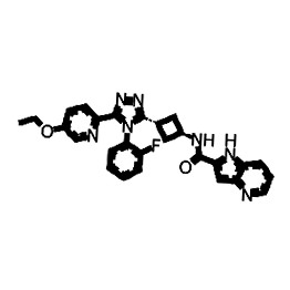 CCOc1ccc(-c2nnc([C@H]3C[C@H](NC(=O)c4cc5ncccc5[nH]4)C3)n2-c2ccccc2F)nc1